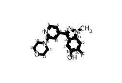 Cn1nc(-c2ccnc(N3CCOCC3)c2)c2cc(O)c(F)cc21